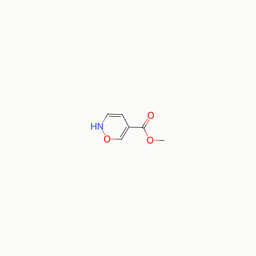 COC(=O)C1=CONC=C1